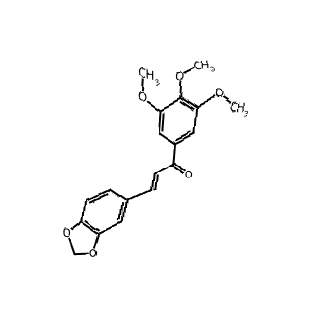 COc1cc(C(=O)/C=C/c2ccc3c(c2)OCO3)cc(OC)c1OC